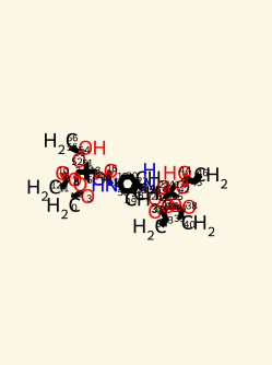 C=CC(=O)OCC(COC(=O)C=C)(COC(=O)NC1CCC(C)(CNC(=O)OC(COC(=O)C=C)(COC(=O)C=C)COC(O)C=C)C(C)(C)C1)COC(O)C=C